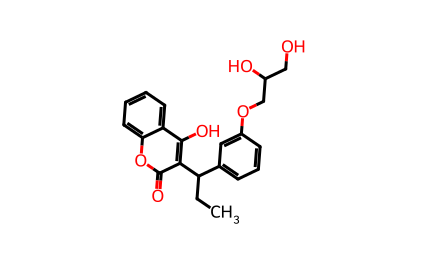 CCC(c1cccc(OCC(O)CO)c1)c1c(O)c2ccccc2oc1=O